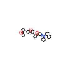 c1ccc(N(c2ccc3oc4c(-c5ccc6oc7cc(-c8cccc9oc%10ccccc%10c89)ccc7c6c5)cccc4c3c2)c2cccc3ccccc23)cc1